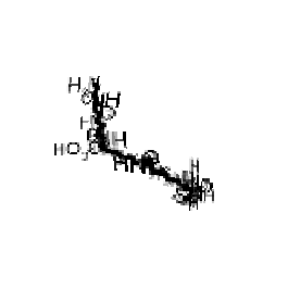 NCC(=O)NCC(=O)NCC(=O)N[C@@H](CCCCNC(=O)CCCC[C@@H]1SC[C@@H]2NC(=O)N[C@@H]21)C(=O)O